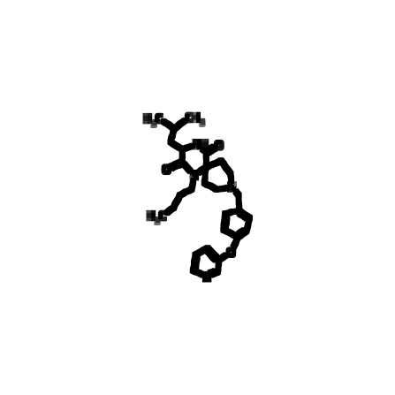 CCCCN1C(=O)C(CC(C)C)NC(=O)C12CCN(Cc1ccc(Oc3cccnc3)cc1)CC2